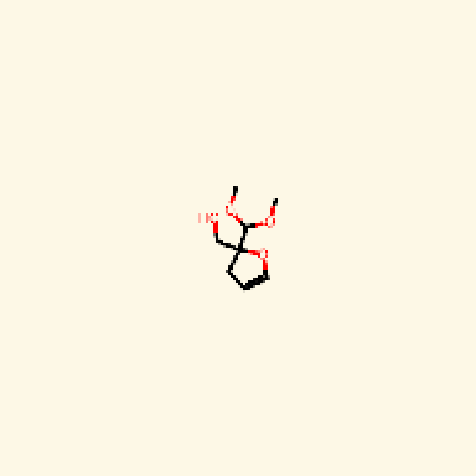 COC(OC)C1(CO)CC=CO1